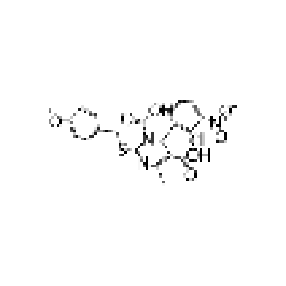 COc1ccc(CSC2=NC(C)=C(C(=O)O)C(c3cccc([N+](=O)[O-])c3Cl)N2C(=O)O)cc1